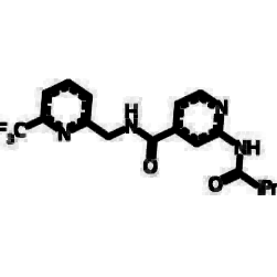 CC(C)C(=O)Nc1cc(C(=O)NCc2cccc(C(F)(F)F)n2)ccn1